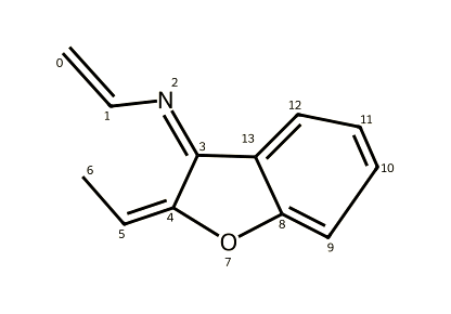 C=C/N=C1\C(=C/C)Oc2ccccc21